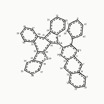 c1ccc(-c2nc3cc4ccccc4cc3nc2-n2c3ccccc3c3c4ccccc4c4c5ccccc5sc4c32)cc1